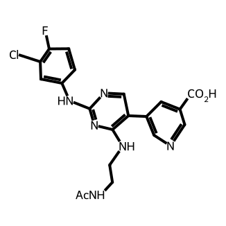 CC(=O)NCCNc1nc(Nc2ccc(F)c(Cl)c2)ncc1-c1cncc(C(=O)O)c1